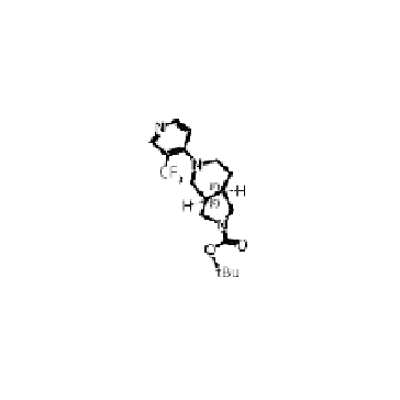 CC(C)(C)OC(=O)N1C[C@@H]2CCN(c3ccncc3C(F)(F)F)C[C@@H]2C1